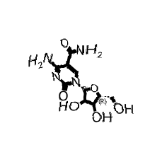 NC(=O)c1cn([C@@H]2O[C@H](CO)C(O)C2O)c(=O)nc1N